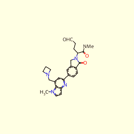 CNC(=O)C(CCC=O)N1Cc2cc(-c3cc(CN4CCC4)c4c(ccn4C)n3)ccc2C1=O